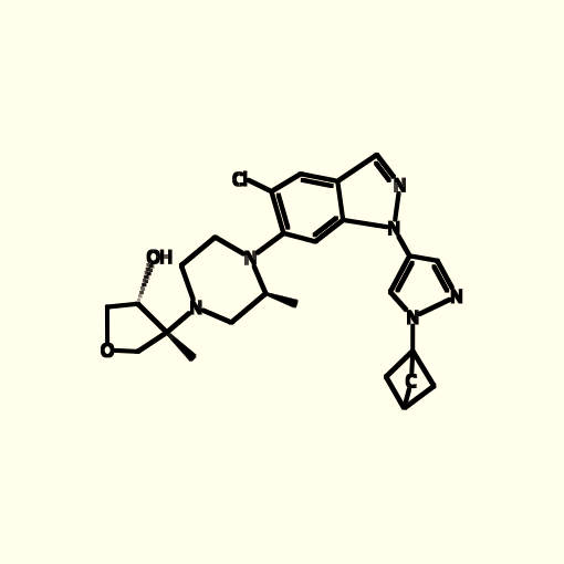 C[C@H]1CN([C@]2(C)COC[C@@H]2O)CCN1c1cc2c(cnn2-c2cnn(C34CC(C3)C4)c2)cc1Cl